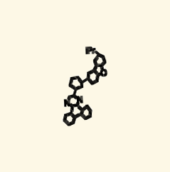 CC(C)c1ccc2oc3ccc(-c4cccc(-c5cnc6c7ccccc7c7ccccc7c6n5)c4)cc3c2c1